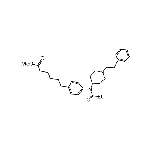 CCC(=O)N(c1ccc(CCCCCC(=O)OC)cc1)C1CCN(CCc2ccccc2)CC1